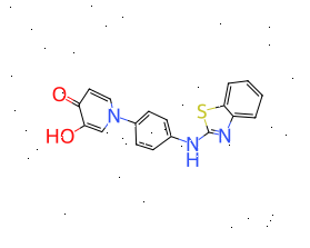 O=c1ccn(-c2ccc(Nc3nc4ccccc4s3)cc2)cc1O